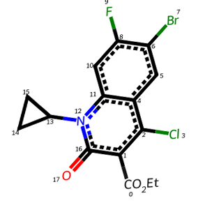 CCOC(=O)c1c(Cl)c2cc(Br)c(F)cc2n(C2CC2)c1=O